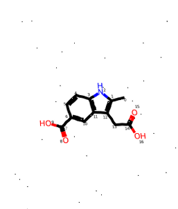 Cc1[nH]c2ccc(C(=O)O)cc2c1CC(=O)O